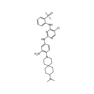 CN(C)C1CCC2(CC1)CCN(c1ccc(Nc3ncc(Cl)c(Nc4ccccc4P(C)(C)=O)n3)cc1N)CC2